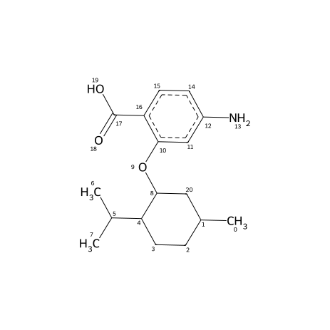 CC1CCC(C(C)C)C(Oc2cc(N)ccc2C(=O)O)C1